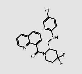 O=C(c1cccc2cccnc12)N1CCC(F)(F)C[C@H]1CNc1ccc(Cl)cn1